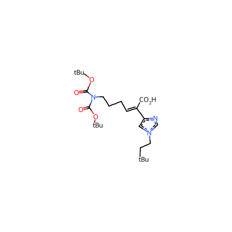 CC(C)(C)CCn1cnc(C(=CCCCN(C(=O)OC(C)(C)C)C(=O)OC(C)(C)C)C(=O)O)c1